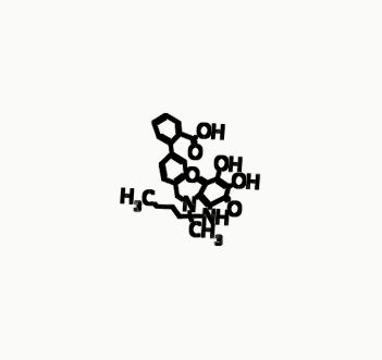 CCCCC1(C)NC2=C(C(=O)C(O)=C(O)C2=O)N1Cc1ccc(-c2ccccc2C(=O)O)cc1